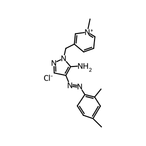 Cc1ccc(N=Nc2cnn(Cc3ccc[n+](C)c3)c2N)c(C)c1.[Cl-]